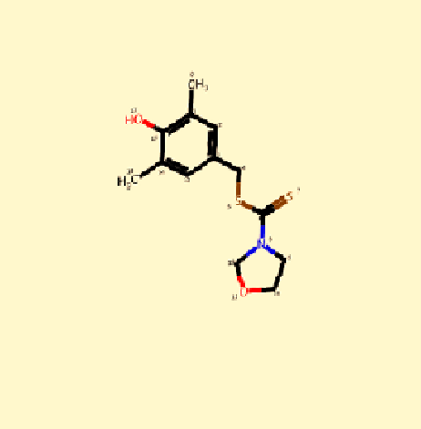 Cc1cc(CSC(=S)N2CCOC2)cc(C)c1O